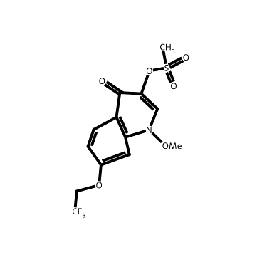 COn1cc(OS(C)(=O)=O)c(=O)c2ccc(OCC(F)(F)F)cc21